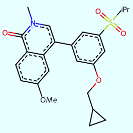 COc1ccc2c(=O)n(C)cc(-c3cc(OCC4CC4)cc(S(=O)(=O)C(C)C)c3)c2c1